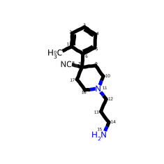 Cc1ccccc1C1(C#N)CCN(CCCN)CC1